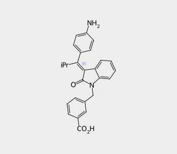 CC(C)/C(=C1\C(=O)N(Cc2cccc(C(=O)O)c2)c2ccccc21)c1ccc(N)cc1